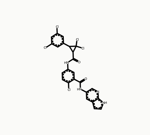 O=C(Nc1cnc2[nH]ccc2c1)c1cc(NC(=O)C2C(c3cc(Cl)cc(Cl)c3)C2(Cl)Cl)ccc1Cl